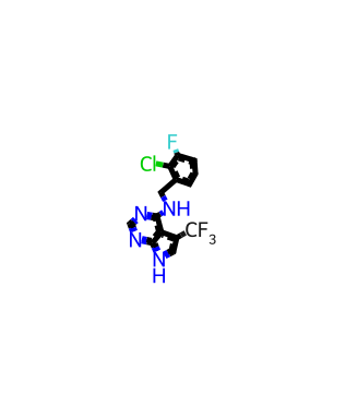 Fc1cccc(CNc2ncnc3[nH]cc(C(F)(F)F)c23)c1Cl